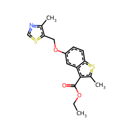 CCOC(=O)c1c(C)sc2ccc(OCc3scnc3C)cc12